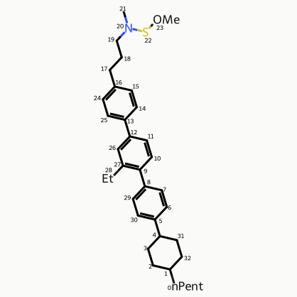 CCCCCC1CCC(c2ccc(-c3ccc(-c4ccc(CCCN(C)SOC)cc4)cc3CC)cc2)CC1